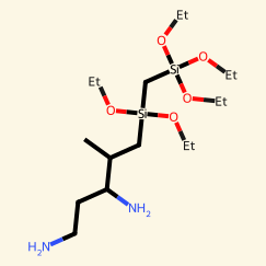 CCO[Si](CC(C)C(N)CCN)(C[Si](OCC)(OCC)OCC)OCC